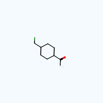 COC(=O)C1CCC(CCl)CC1.N